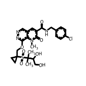 Cn1c(=O)c(C(=O)NCc2ccc(Cl)cc2)cc2cnnc(OCC3(S(=O)(=O)C(C)(C)C(O)CO)CC3)c21